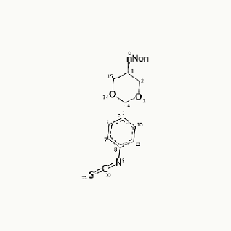 CCCCCCCCC[C@H]1CO[C@H](c2ccc(N=C=S)cc2)OC1